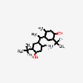 CC1CC(O)C(C(C)(C)C)CC1C(C)C1CC(C(C)(C)C)C(O)CC1C